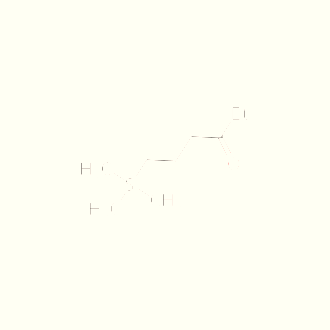 CCC(=O)CCC[Si](C)(C)C